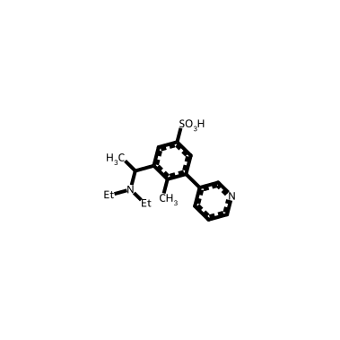 CCN(CC)C(C)c1cc(S(=O)(=O)O)cc(-c2cccnc2)c1C